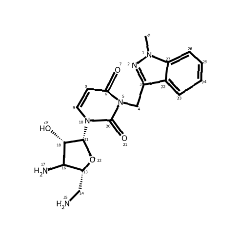 Cn1nc(Cn2c(=O)ccn([C@@H]3O[C@H](CN)C(N)[C@@H]3O)c2=O)c2ccccc21